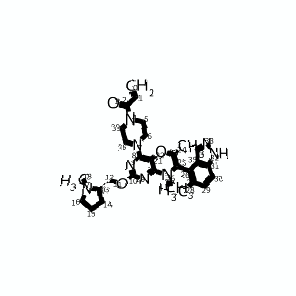 C=CC(=O)N1CCN(c2nc(OC[C@@H]3CCCN3C)nc3c2O[C@@H](C)C(c2c(C)ccc4[nH]ncc24)N3C)CC1